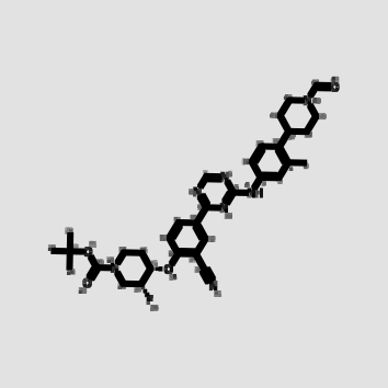 Cc1cc(Nc2ncnc(-c3ccc(O[C@H]4CCN(C(=O)OC(C)(C)C)C[C@H]4F)c(C#N)c3)n2)ccc1C1CCN(C=O)CC1